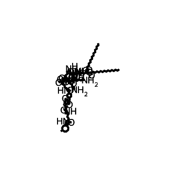 CCCCCCCCCCCCCCCC(=O)OCC(CSCC(N)C(=O)NC(CO)C(=O)NC(CCCCN)C(=O)NC(CCCCN)C(=O)NC(CCCCN)C(=O)NC(CCCCNC(=O)C1CCC(CN2C(=O)CC(SCC(=O)NCCCCC3NC4C5CCC(C)CCCCC5C4C3=O)C2=O)CC1)C(=O)O)OC(=O)CCCCCCCCCCCCCCC